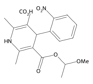 COC(C)OC(=O)C1=C(C)NC(C)=C(C(=O)O)C1c1ccccc1[N+](=O)[O-]